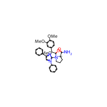 COc1ccc(C(OC)C(=O)[N+]2(c3nc(-c4ccccc4)cn3-c3ccccc3)CCC[C@@H]2C(N)=O)cc1OC